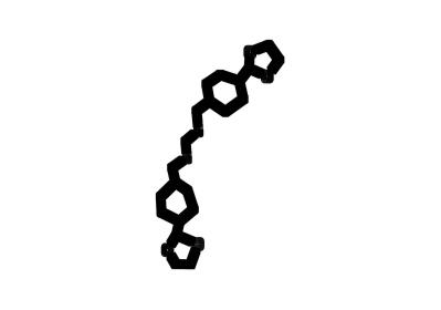 C1COC(C2CCC(CSCSCC3CCC(C4OCCO4)CC3)CC2)O1